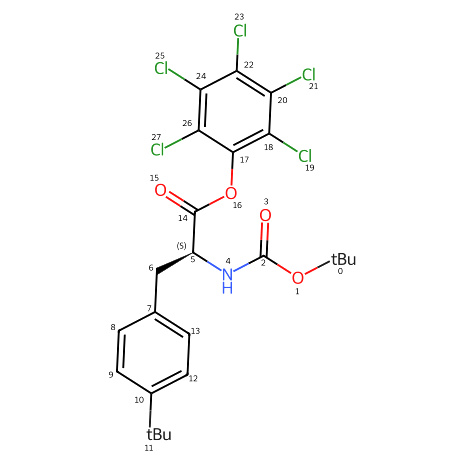 CC(C)(C)OC(=O)N[C@@H](Cc1ccc(C(C)(C)C)cc1)C(=O)Oc1c(Cl)c(Cl)c(Cl)c(Cl)c1Cl